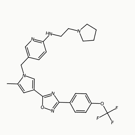 Cc1cc(-c2nc(-c3ccc(OC(F)(F)F)cc3)no2)cn1Cc1ccc(NCCN2CCCC2)nc1